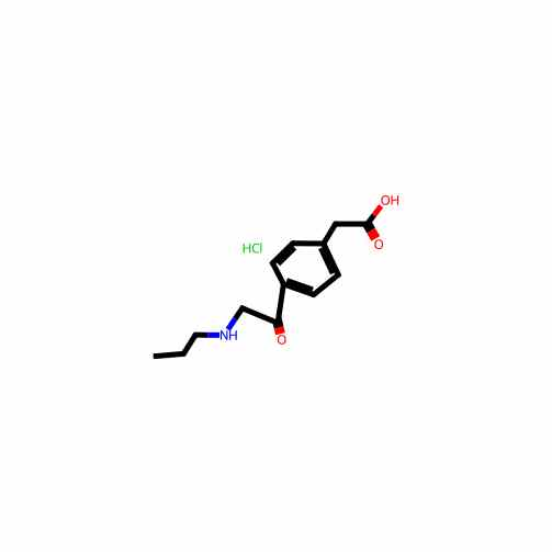 CCCNCC(=O)c1ccc(CC(=O)O)cc1.Cl